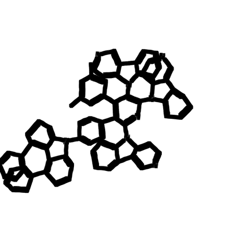 Cc1cc(C)cc(-c2c(-c3ccc(-n4c5cccc(-c6ccccc6)c5c5c(-c6ccccc6)cccc54)cc3)c(-n3c4ccccc4c4cnccc43)nc(-n3c4ccccc4c4cnccc43)c2-n2c3ccccc3c3cnccc32)c1